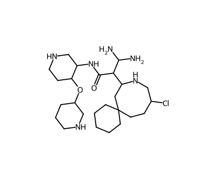 NC(N)C(C(=O)NC1CNCCC1OC1CCCNC1)C1CC2(CCCCC2)CCC(Cl)CN1